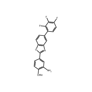 COc1ccc(-c2nc3cc(-c4ccc(F)c(F)c4F)ccc3o2)cc1N